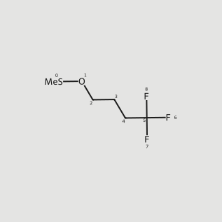 CSOCCCC(F)(F)F